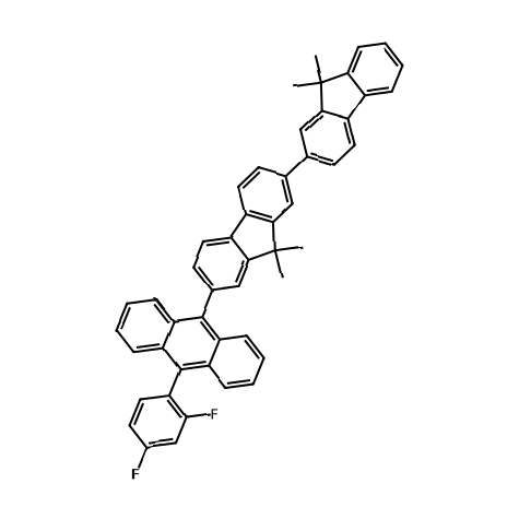 CC1(C)c2ccccc2-c2ccc(-c3ccc4c(c3)C(C)(C)c3cc(-c5c6ccccc6c(-c6ccc(F)cc6F)c6ccccc56)ccc3-4)cc21